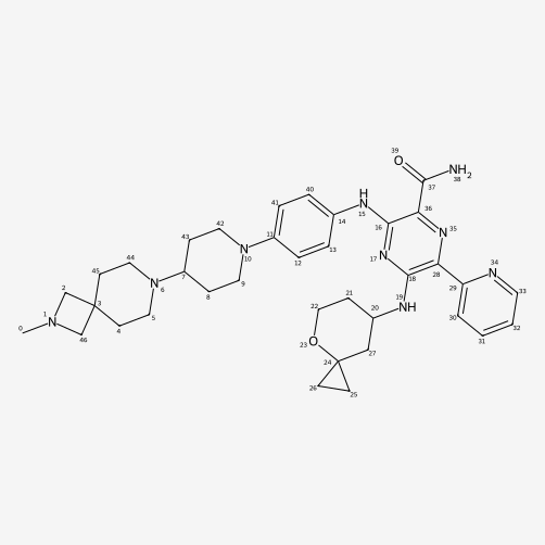 CN1CC2(CCN(C3CCN(c4ccc(Nc5nc(NC6CCOC7(CC7)C6)c(-c6ccccn6)nc5C(N)=O)cc4)CC3)CC2)C1